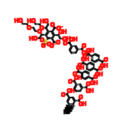 O=C(O)c1ccc(C(=O)O)cc1.O=C(O)c1ccc(C(=O)O)cc1.O=C(O)c1ccc(C(=O)O)cc1.O=C(O)c1cccc(C(=O)O)c1.O=C(O)c1cccc(C(=O)O)c1.O=C(O)c1cccc(C(=O)O)c1.O=C([O-])c1c(C(O)CO)c(C(=O)[O-])c(S(=O)(=O)[O-])c(C(CO)OCCOCCO)c1C(CO)OCCO.[Na+].[Na+].[Na+]